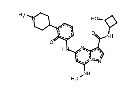 CNc1cc(Nc2cccn(C3CCN(C)CC3)c2=O)nc2c(C(=O)N[C@@H]3CC[C@@H]3O)cnn12